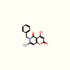 Cc1cc2oc(=O)cc(O)c2c(=O)n1Cc1ccccc1